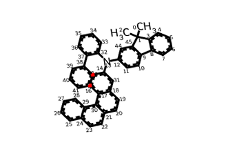 CC1(C)c2ccccc2-c2ccc(N(c3ccc4c(ccc5ccc6ccccc6c54)c3)c3ccccc3-c3ccccc3)cc21